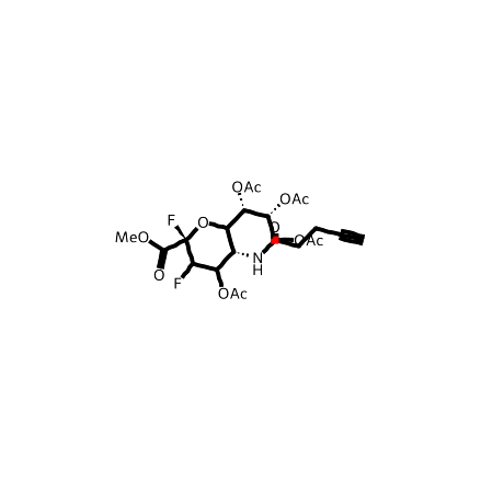 C#CCCC(=O)N[C@@H]1C(OC(C)=O)C(F)[C@](F)(C(=O)OC)OC1[C@H](OC(C)=O)[C@@H](COC(C)=O)OC(C)=O